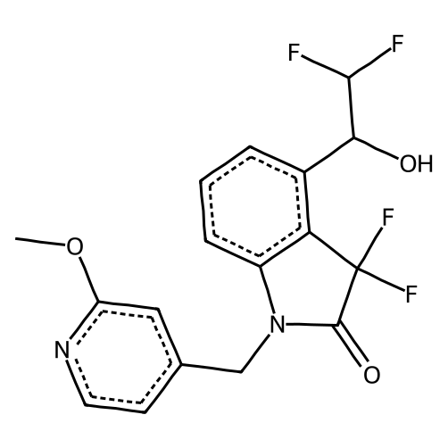 COc1cc(CN2C(=O)C(F)(F)c3c(C(O)C(F)F)cccc32)ccn1